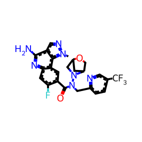 Cn1ncc2c(N)nc3cc(F)c(C(=O)N(Cc4ccc(C(F)(F)F)cn4)N4CC5CC4CO5)cc3c21